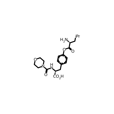 CC(C)C[C@H](N)C(=O)Oc1ccc(C[C@H](NC(=O)N2CCOCC2)C(=O)O)cc1